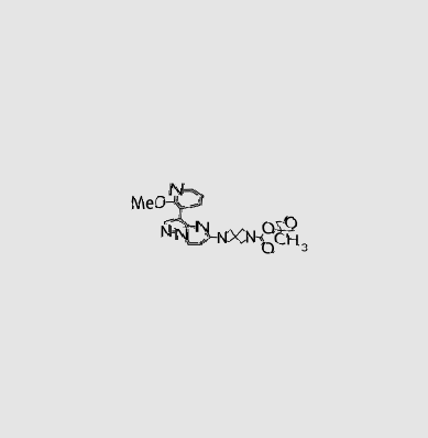 COc1ncccc1-c1cnn2ccc(N3CC4(CN(C(=O)OC5(C)COC5)C4)C3)nc12